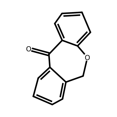 O=C1c2ccccc2COc2ccccc21